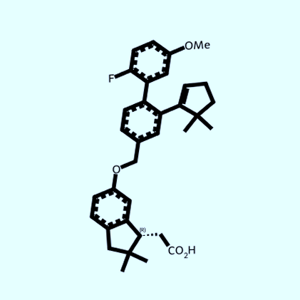 COc1ccc(F)c(-c2ccc(COc3ccc4c(c3)[C@H](CC(=O)O)C(C)(C)C4)cc2C2=CCCC2(C)C)c1